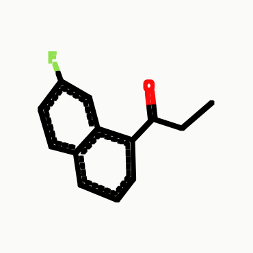 CCC(=O)c1cccc2ccc(F)cc12